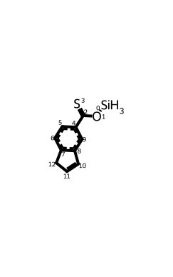 [SiH3]OC(=S)c1ccc2c(c1)C=CC2